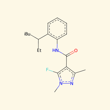 CCC(C)C(CC)c1ccccc1NC(=O)c1c(C)nn(C)c1F